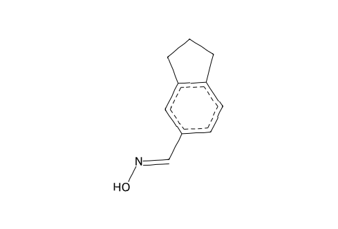 ON=Cc1ccc2c(c1)CCC2